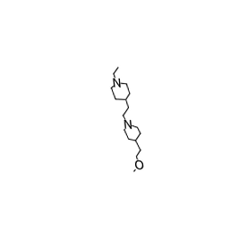 CCN1CCC(CCN2CCC(CCOC)CC2)CC1